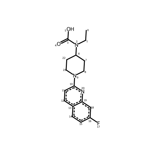 CCN(C(=O)O)C1CCN(c2ccc3ccc(F)cc3n2)CC1